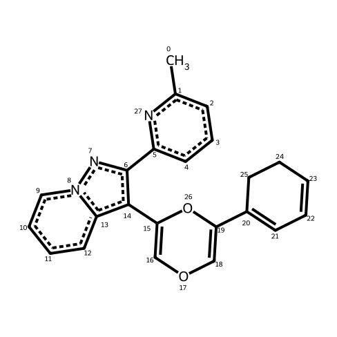 Cc1cccc(-c2nn3ccccc3c2C2=COC=C(C3=CC=CCC3)O2)n1